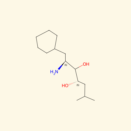 CC(C)C[C@H](O)C(O)[C@@H](N)CC1CCCCC1